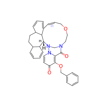 O=C1c2c(OCc3ccccc3)c(=O)ccn2N2CN1CCOC/C=C\C1=CC=CC3CCC4C=CC=CC4[C@@H]2C13